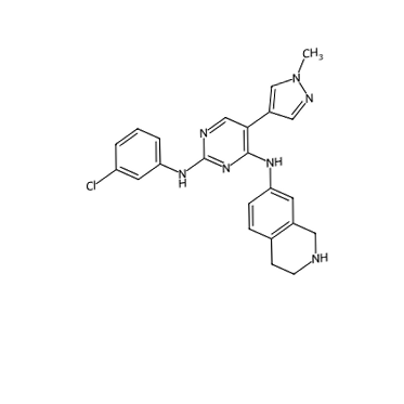 Cn1cc(-c2cnc(Nc3cccc(Cl)c3)nc2Nc2ccc3c(c2)CNCC3)cn1